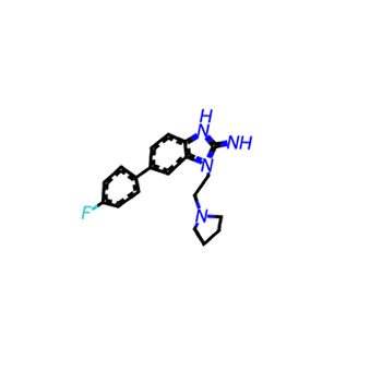 N=c1[nH]c2ccc(-c3ccc(F)cc3)cc2n1CCN1CCCC1